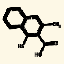 Cc1cc2ccccc2c(S)c1C(=O)O